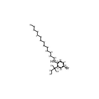 CCCCCCCCCCCCCCNc1ccc(Br)cc1C(C)(C)CC